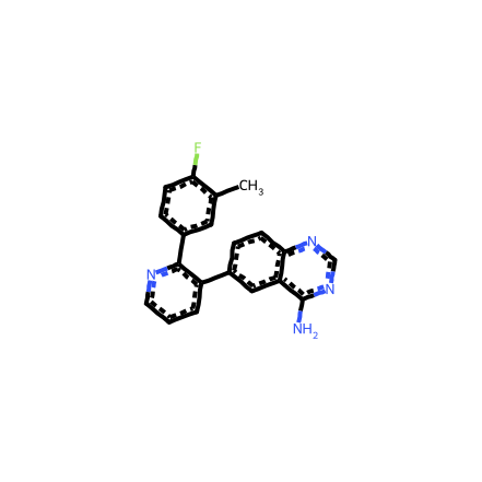 Cc1cc(-c2ncccc2-c2ccc3ncnc(N)c3c2)ccc1F